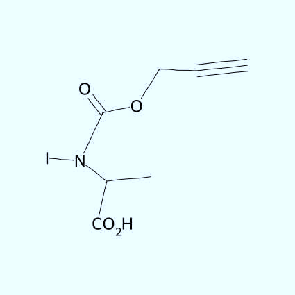 C#CCOC(=O)N(I)C(C)C(=O)O